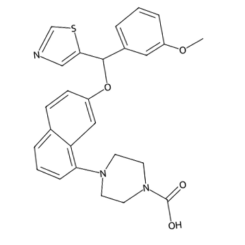 COc1cccc(C(Oc2ccc3cccc(N4CCN(C(=O)O)CC4)c3c2)c2cncs2)c1